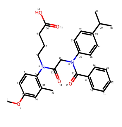 COc1ccc(N(CCCC(=O)O)C(=O)CN(C(=O)c2ccccc2)c2ccc(C(C)C)cc2)c(C)c1